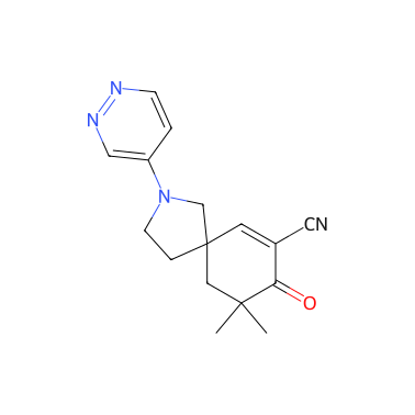 CC1(C)CC2(C=C(C#N)C1=O)CCN(c1ccnnc1)C2